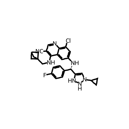 N#Cc1cnc2c(Cl)cc(N[C@H](C3=CN(C4CC4)NN3)c3ccc(F)cc3)cc2c1NCC12CC(C1)C2